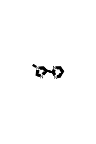 Cn1[c]nc(-c2ncccn2)c1